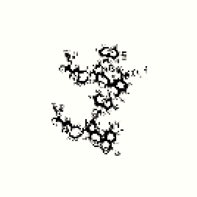 C[C@@H]1OC[C@]2(Cc3nc(OC[C@@]45CCCN4C[C@H](F)C5)nc(N4CCCn5nc(C(=O)N(C)C)cc5C4)c3CO2)c2cc(N(C(=O)O)C(C)(C)C)ccc21.C[C@@H]1OC[C@]2(Cc3nc(OC[C@@]45CCCN4C[C@H](F)C5)nc(N4CCCn5nc(C(=O)N(C)C)cc5C4)c3CO2)c2cc(N)ccc21